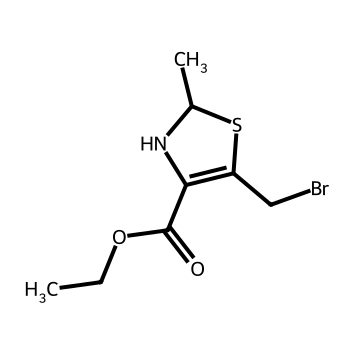 CCOC(=O)C1=C(CBr)SC(C)N1